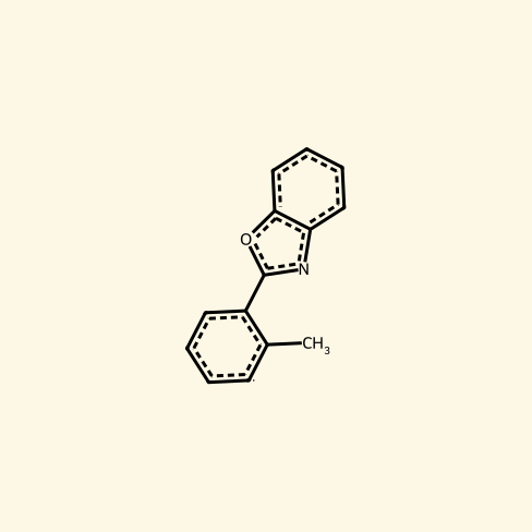 Cc1[c]cccc1-c1nc2ccccc2o1